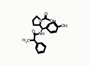 CC(C(=O)N[C@H](c1ccc(O)cc1)C1CCCN1C(=O)O)c1ccccc1